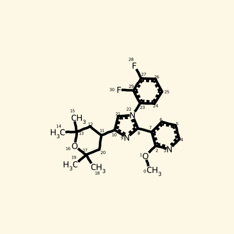 COc1ncccc1-c1nc(C2CC(C)(C)OC(C)(C)C2)cn1-c1cccc(F)c1F